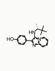 C[C@@H](Nc1c(-c2ccc(O)cc2)nc2ccccn12)C(C)(C)C